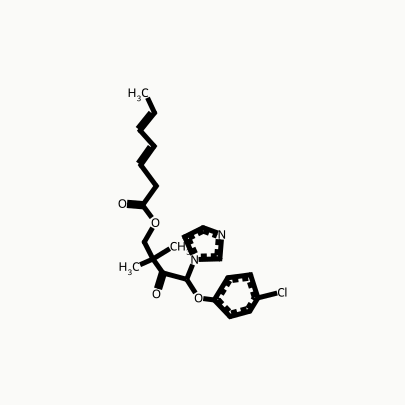 CC=CC=CCC(=O)OCC(C)(C)C(=O)C(Oc1ccc(Cl)cc1)n1ccnc1